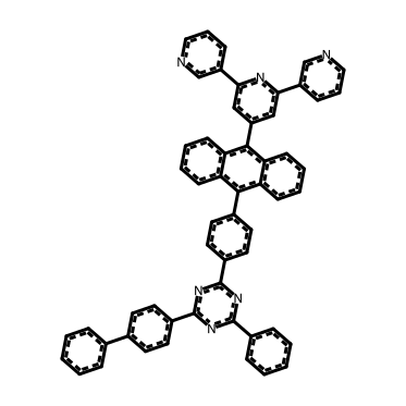 c1ccc(-c2ccc(-c3nc(-c4ccccc4)nc(-c4ccc(-c5c6ccccc6c(-c6cc(-c7cccnc7)nc(-c7cccnc7)c6)c6ccccc56)cc4)n3)cc2)cc1